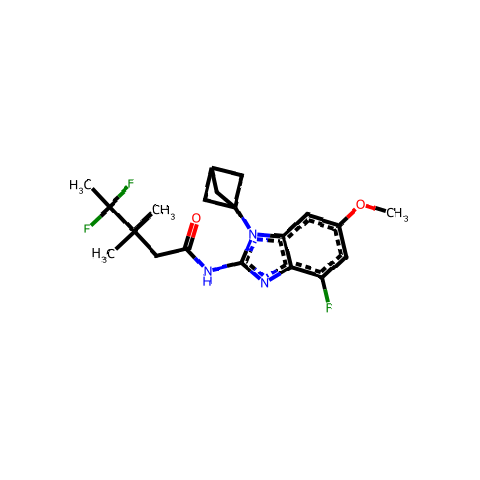 COc1cc(F)c2nc(NC(=O)CC(C)(C)C(C)(F)F)n(C34CC(C3)C4)c2c1